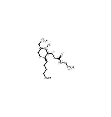 CCCCCCCCCCCCC/C=C1\CC[C@@H](CC(=O)O)[C@H](O)[C@H]1SCC(=O)NCC(=O)O